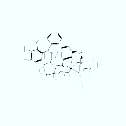 CCOC(=O)[C@H](C)N(C(C)C)P(=O)(O)Oc1c2n(ccc1=O)N([C@@H]1c3ccccc3SCc3c1ccc(F)c3F)[C@@H]1COCCN1C2=O